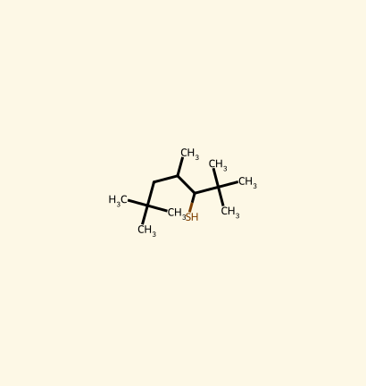 CC(CC(C)(C)C)C(S)C(C)(C)C